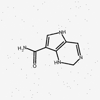 NC(=O)c1c[nH]c2c1NCN=C2